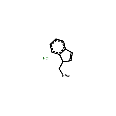 CNCC1C=Cc2ccccc21.Cl